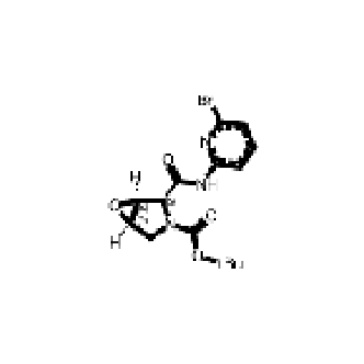 CC(C)(C)OC(=O)N1C[C@H]2O[C@H]2[C@H]1C(=O)Nc1cccc(Br)n1